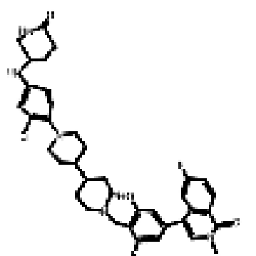 COc1cc(-c2cn(C)c(=O)c3ccc(F)cc23)cc(F)c1CN1CCC(C2CCN(c3ccc(NC4CCC(=O)NC4)cc3Cl)CC2)CC1